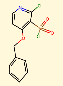 O=S(=O)(Cl)c1c(OCc2ccccc2)ccnc1Cl